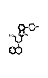 CN1CCN(c2cccc3nc(CN(CCO)[C@H]4CCCc5cccnc54)n(C)c23)CC1